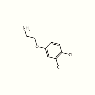 NCCOc1ccc(Cl)c(Cl)c1